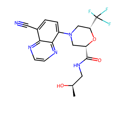 C[C@@H](O)CNC(=O)[C@@H]1CN(c2ccc(C#N)c3nccnc23)C[C@H](C(F)(F)F)O1